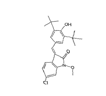 CON1C(=O)C(=Cc2cc(C(C)(C)C)c(O)c(C(C)(C)C)c2)c2ccc(Cl)cc21